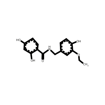 CCOc1cc(CNC(=O)c2ccc(O)cc2O)ccc1O